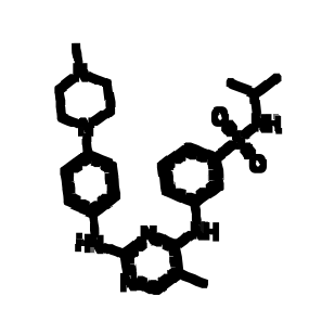 Cc1cnc(Nc2ccc(N3CCN(C)CC3)cc2)nc1Nc1cccc(S(=O)(=O)NC(C)C)c1